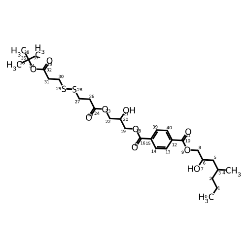 CCCC(C)CC(O)COC(=O)c1ccc(C(=O)OCC(O)COC(=O)CCSSCCC(=O)OC(C)(C)C)cc1